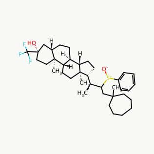 C[C@H](C(CC1(C)CCCCCC1)[S+]([O-])c1ccccc1)[C@H]1CC[C@H]2[C@@H]3CC[C@H]4C[C@](O)(C(F)(F)F)CC[C@]4(C)[C@H]3CC[C@]12C